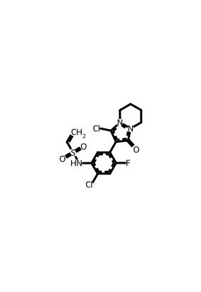 C=CS(=O)(=O)Nc1cc(-c2c(Cl)n3n(c2=O)CCCC3)c(F)cc1Cl